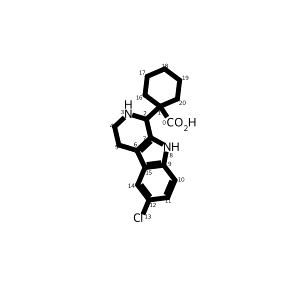 O=C(O)C1(C2NCCc3c2[nH]c2ccc(Cl)cc32)CCCCC1